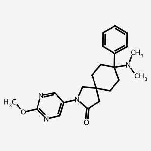 COc1ncc(N2CC3(CCC(c4ccccc4)(N(C)C)CC3)CC2=O)cn1